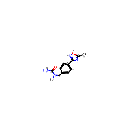 CCN(Cc1ccc(-c2noc(C(F)(F)F)n2)cc1)C(N)=O